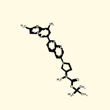 Cc1cn2nc(-c3ccc4cc(N5CCC(N(C)C(=O)OC(C)(C)C)C5)cnc4n3)cc(C)c2n1